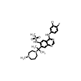 CN1CCCN(C(C)(C)c2cc3ncnc(Nc4ccc(F)c(Cl)c4)c3cc2NS(C)(=O)=O)CC1